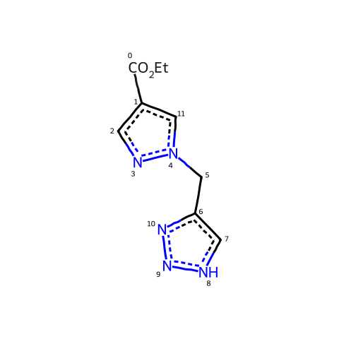 CCOC(=O)c1cnn(Cc2c[nH]nn2)c1